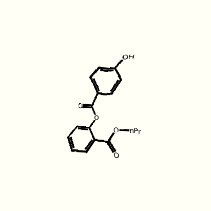 CCCOC(=O)c1ccccc1OC(=O)c1ccc(O)cc1